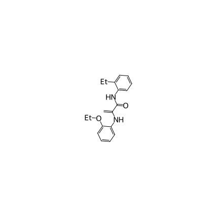 C=C(Nc1ccccc1OCC)C(=O)Nc1ccccc1CC